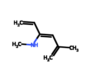 C=C/C(=C/C(=C)C)NC